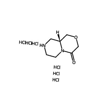 Cl.Cl.Cl.Cl.Cl.Cl.O=C1COC[C@H]2CNCCN12